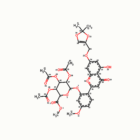 COC(=O)C1OC(Oc2cc(OC)ccc2-c2cc(=O)c3c(O)cc(OCC4=COC(C)(C)O4)cc3o2)C(OC(C)=O)C(OC(C)=O)C1OC(C)=O